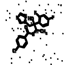 C[C@@H](SC(=O)c1ccc(Cl)cc1)C(O)(Cn1cncn1)c1ccc(F)cc1F